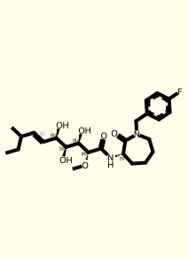 CCC(C)/C=C/[C@@H](O)[C@H](O)[C@@H](O)[C@@H](OC)C(=O)N[C@H]1CCCCN(Cc2ccc(F)cc2)C1=O